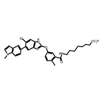 Cc1ccc(Oc2nc3cc(-c4ccc5c(ccn5C)c4)c(Cl)cc3[nH]2)cc1C(=O)NCCCCCCCC(=O)O